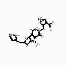 Cn1c2nc(Cc3cc[nH]n3)sc2c2cnn(Cc3n[nH]cc3C(N)=O)c(=O)c21